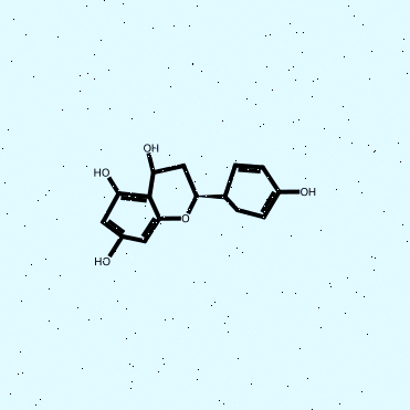 OC1=CCC([C@@H]2CC(O)c3c(O)cc(O)cc3O2)C=C1